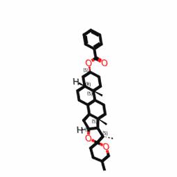 CC1CCC2(OC1)O[C@H]1CC3C4CC[C@@H]5C[C@@H](OC(=O)c6ccccc6)CC[C@]5(C)C4CC[C@]3(C)C1[C@@H]2C